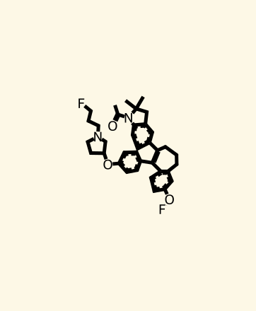 CC(=O)N1c2ccc(C3=C(c4ccc(OC5CCN(CCCF)C5)cc4)c4ccc(OF)cc4CCC3)cc2CC1(C)C